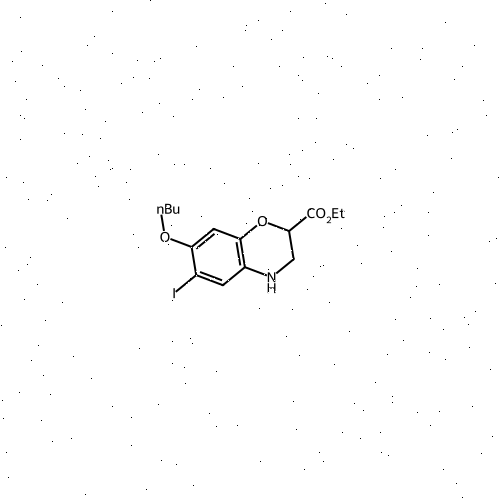 CCCCOc1cc2c(cc1I)NCC(C(=O)OCC)O2